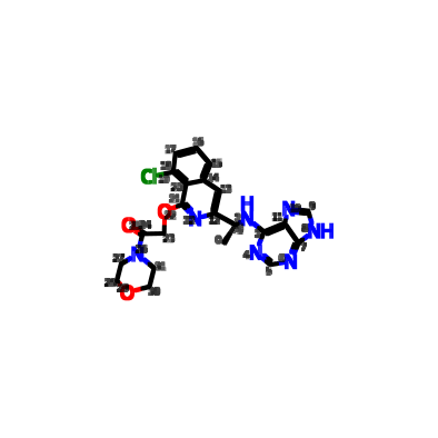 C[C@H](Nc1ncnc2[nH]cnc12)c1cc2cccc(Cl)c2c(OCC(=O)N2CCOCC2)n1